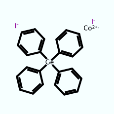 [Co+2].[I-].[I-].c1cc[c]([Ge]([c]2ccccc2)([c]2ccccc2)[c]2ccccc2)cc1